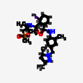 Cc1cc(Cn2nc(C(F)(F)F)cc2C(F)(F)F)ccc1NC(=O)c1cccc(I)c1C(=O)NC(C)(C)CS(C)(=O)=O